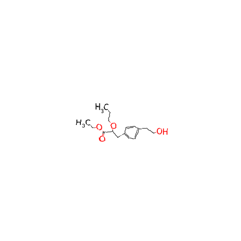 CCCOC(Cc1ccc(CCO)cc1)C(=O)OCC